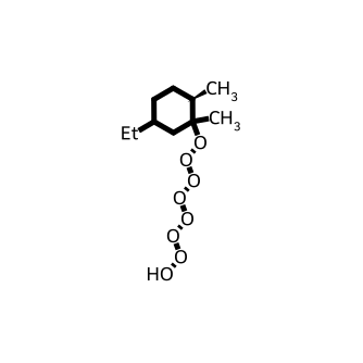 CCC1CC[C@@H](C)C(C)(OOOOOOOO)C1